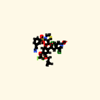 N#Cc1cccc(S(=O)(=O)N2CCSC2C(=O)OC(Cc2c(Cl)c[n+]([O-])cc2Cl)c2ccc(OC(F)F)c(OCC3CC3)c2)c1